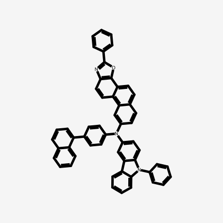 c1ccc(-c2nc3ccc4c5cc(N(c6ccc(-c7cccc8ccccc78)cc6)c6ccc7c(c6)c6ccccc6n7-c6ccccc6)ccc5ccc4c3o2)cc1